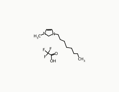 CCCCCCCCN1C=CN(C)C1.O=C(O)C(F)(F)F